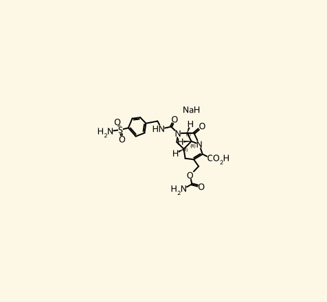 NC(=O)OCC1=C(C(=O)O)N2C(=O)[C@@H]3[C@H]2[C@H](C1)CN3C(=O)NCc1ccc(S(N)(=O)=O)cc1.[NaH]